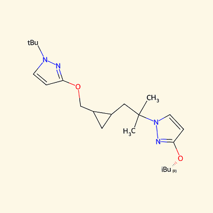 CC[C@@H](C)Oc1ccn(C(C)(C)CC2CC2COc2ccn(C(C)(C)C)n2)n1